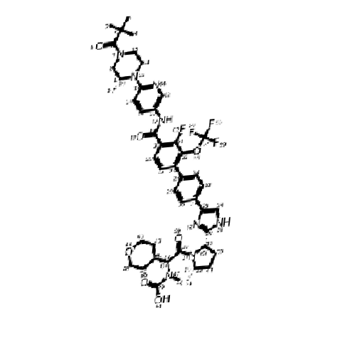 C[C@@H]1CN(C(=O)C(C)(C)C)CCN1c1ccc(NC(=O)c2ccc(-c3ccc(-c4c[nH]c([C@@H]5CC[C@H](C)N5C(=O)[C@H](C5CCOCC5)N(C)C(=O)O)n4)cc3)c(OC(F)(F)F)c2F)cn1